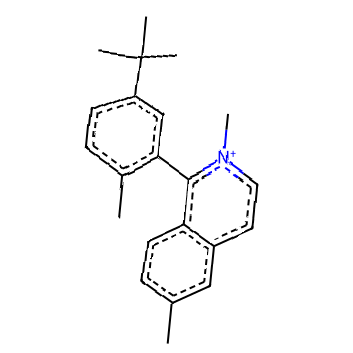 Cc1ccc2c(-c3cc(C(C)(C)C)ccc3C)[n+](C)ccc2c1